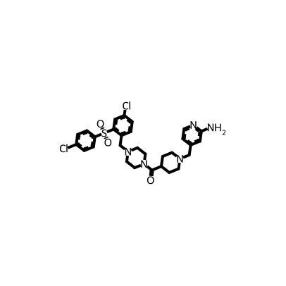 Nc1cc(CN2CCC(C(=O)N3CCN(Cc4ccc(Cl)cc4S(=O)(=O)c4ccc(Cl)cc4)CC3)CC2)ccn1